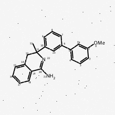 COc1cccc(-c2cccc(C3(C)Cc4ccccc4C(N)=N3)c2)c1